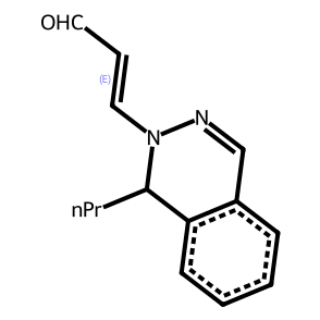 CCCC1c2ccccc2C=NN1/C=C/C=O